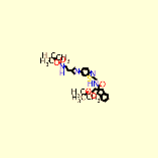 CC(C)(C)OC(=O)CC1(C(=O)NCc2nc3ccc(N4CC(CCNC(=O)OC(C)(C)C)C4)cc3s2)Cc2ccccc2C1